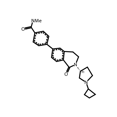 CNC(=O)c1ccc(-c2ccc3c(c2)CCN([C@@H]2CCN(C4CCC4)C2)C3=O)cc1